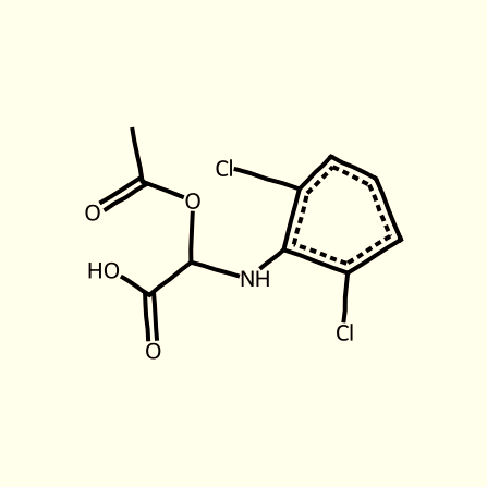 CC(=O)OC(Nc1c(Cl)cccc1Cl)C(=O)O